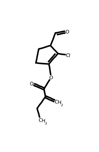 C=C(CC)C(=O)OC1=C(Cl)C(C=O)CC1